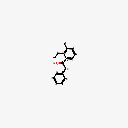 CCc1c(C)cccc1C(=O)Cc1ccccc1